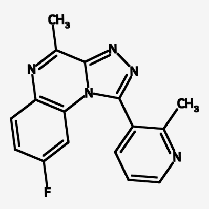 Cc1ncccc1-c1nnc2c(C)nc3ccc(F)cc3n12